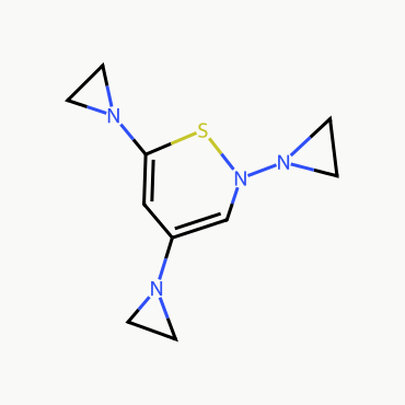 C1=C(N2CC2)C=C(N2CC2)SN1N1CC1